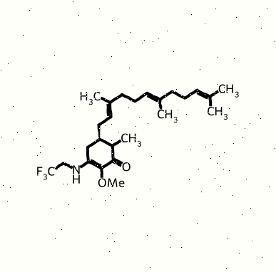 COC1=C(NCC(F)(F)F)C[C@@H](C/C=C(\C)CC/C=C(\C)CCC=C(C)C)C(C)C1=O